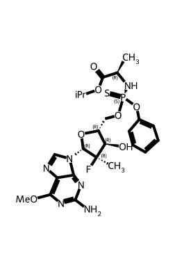 COc1nc(N)nc2c1ncn2[C@@H]1O[C@H](CO[P@@](=S)(N[C@H](C)C(=O)OC(C)C)Oc2ccccc2)[C@@H](O)[C@@]1(C)F